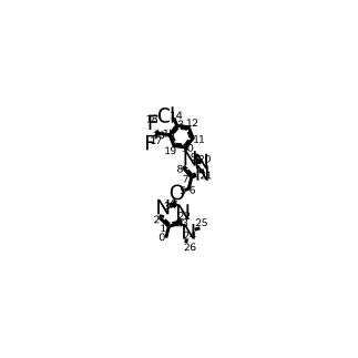 Cc1cnc(OCc2cn(-c3ccc(Cl)c(C(F)F)c3)nn2)nc1N(C)C